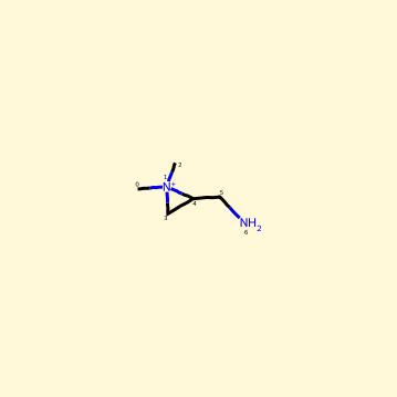 C[N+]1(C)CC1CN